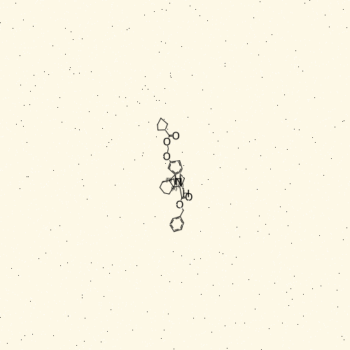 O=C(OCOc1ccc2c(c1)[C@@]13CCCC[C@H]1[C@@H](C2)N(C(=O)OCc1ccccc1)CC3)C1CCCC1